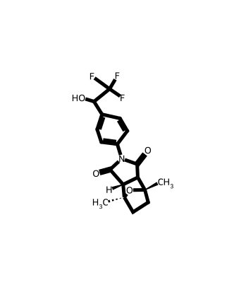 C[C@@]12CC[C@](C)(O1)[C@@H]1C(=O)N(c3ccc(C(O)C(F)(F)F)cc3)C(=O)C12